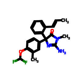 CC=Cc1ccccc1C1(c2ccc(OC(F)F)c(C)c2)N=C(N)N(C)C1=O